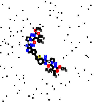 COC(=O)N[C@H](C(=O)N1CCC[C@H]1c1nc2c([nH]1)-c1sc(-c3ccc4c(cnc5nc([C@@H]6CCCN6C(=O)[C@@H](NC(=O)OC)C(C)C)[nH]c54)c3)cc1CC2)C(C)C